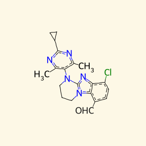 Cc1nc(C2CC2)nc(C)c1N1CCCn2c1nc1c(Cl)ccc(C=O)c12